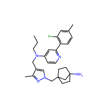 CCCN(Cc1cn(CC23CCC(N)(CC2)C3)nc1C)c1ccnc(-c2ccc(C)cc2F)c1